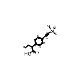 CCC(C(=O)O)c1ccc(C#C[Si](C)(C)C)cc1